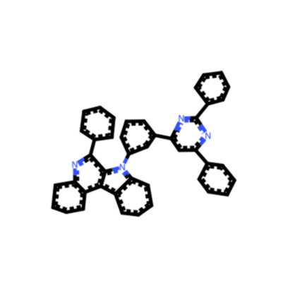 c1ccc(-c2cc(-c3cccc(-n4c5ccccc5c5c6ccccc6nc(-c6ccccc6)c54)c3)nc(-c3ccccc3)n2)cc1